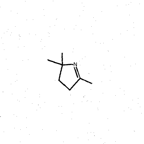 CC1=NC(C)(C)CC1